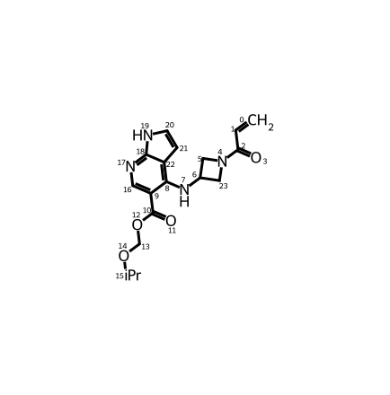 C=CC(=O)N1CC(Nc2c(C(=O)OCOC(C)C)cnc3[nH]ccc23)C1